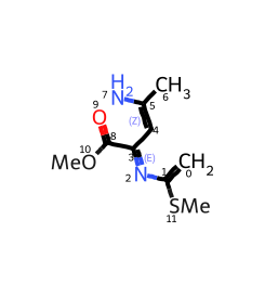 C=C(/N=C(\C=C(\C)N)C(=O)OC)SC